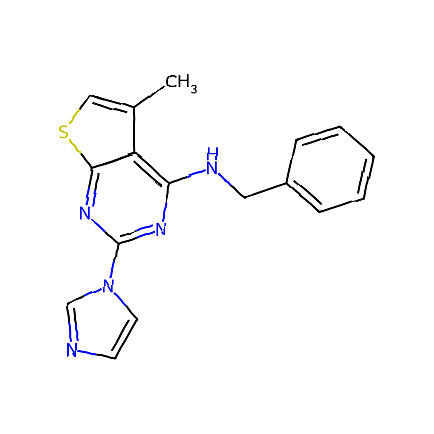 Cc1csc2nc(-n3ccnc3)nc(NCc3ccccc3)c12